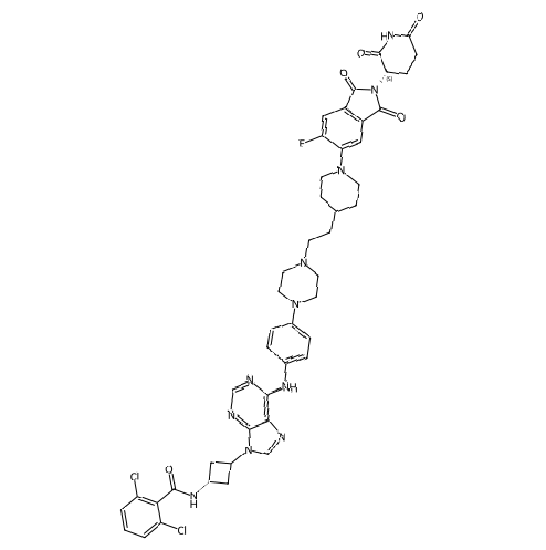 O=C1CC[C@H](N2C(=O)c3cc(F)c(N4CCC(CCN5CCN(c6ccc(Nc7ncnc8c7ncn8C7CC(NC(=O)c8c(Cl)cccc8Cl)C7)cc6)CC5)CC4)cc3C2=O)C(=O)N1